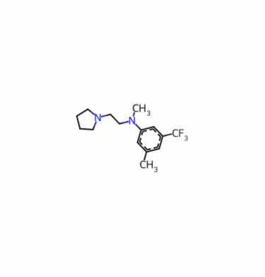 Cc1cc(N(C)CCN2CCCC2)cc(C(F)(F)F)c1